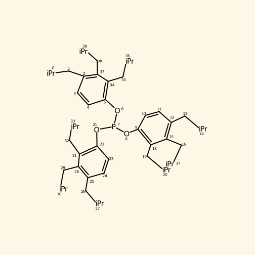 CC(C)Cc1ccc(OP(Oc2ccc(CC(C)C)c(CC(C)C)c2CC(C)C)Oc2ccc(CC(C)C)c(CC(C)C)c2CC(C)C)c(CC(C)C)c1CC(C)C